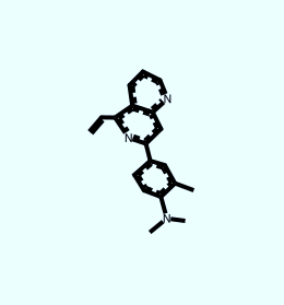 C=Cc1nc(-c2ccc(N(C)C)c(C)c2)cc2ncccc12